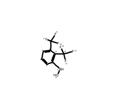 OBc1cccc(C(F)(F)F)c1C(F)(F)F